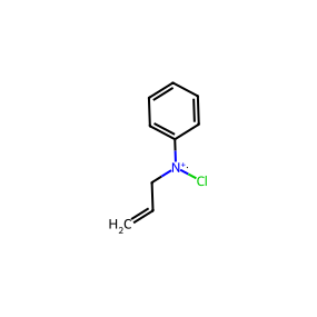 C=CC[N+](Cl)c1ccccc1